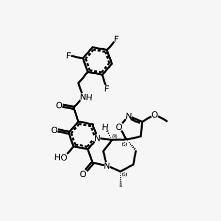 COC1=NO[C@@]2(CC[C@H](C)N3C[C@H]2n2cc(C(=O)NCc4c(F)cc(F)cc4F)c(=O)c(O)c2C3=O)C1